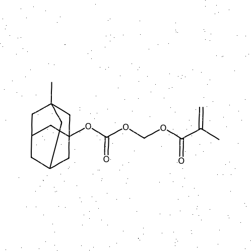 C=C(C)C(=O)OCOC(=O)OC12CC3CC(CC(C)(C3)C1)C2